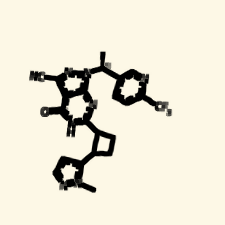 C[C@@H](c1ccc(C(F)(F)F)nc1)n1nc(C#N)c2c(=O)[nH]c(C3CCC3c3ccnn3C)nc21